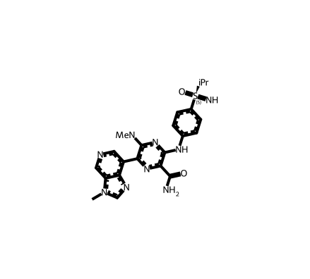 CNc1nc(Nc2ccc([S@@](=N)(=O)C(C)C)cc2)c(C(N)=O)nc1-c1cncc2c1ncn2C